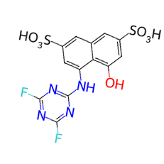 O=S(=O)(O)c1cc(O)c2c(Nc3nc(F)nc(F)n3)cc(S(=O)(=O)O)cc2c1